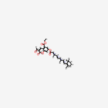 CCOC(=O)c1cc(OC(=O)/C=C(C)/C=C/C=C(C)/C=C/C2=C(C)CCCC2(C)C)cc2oc(=O)c(C(C)=O)cc12